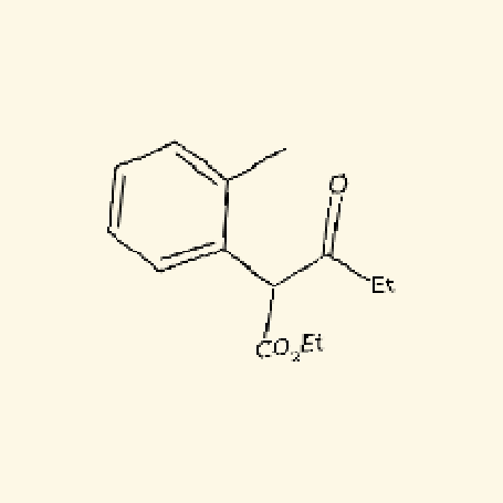 CCOC(=O)C(C(=O)CC)c1ccccc1C